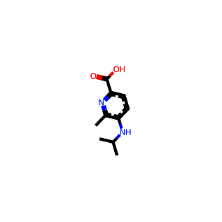 Cc1nc(C(=O)O)ccc1NC(C)C